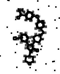 NC(=O)c1ccc(Oc2ccc(CN3CCC(N4C(=O)N(C5CCOCC5)C[C@H]4c4cccc(Cl)c4)CC3)cn2)cc1